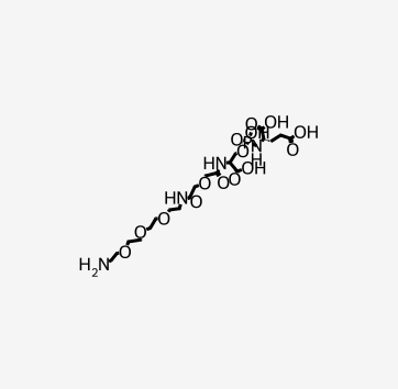 NCCOCCOCCOCCNC(=O)COCC(=O)NC(COP(=O)(O)N[C@@H](CCC(=O)O)C(=O)O)C(=O)O